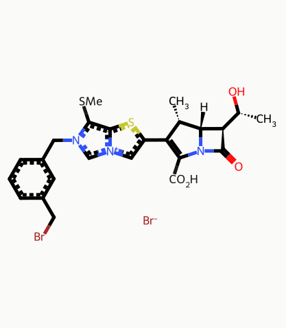 CSc1c2sc(C3=C(C(=O)O)N4C(=O)[C@H]([C@@H](C)O)[C@H]4[C@H]3C)c[n+]2cn1Cc1cccc(CBr)c1.[Br-]